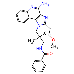 COCCc1nc2c(N)nc3ccccc3c2n1CC(C)(C)CNC(=O)c1ccccc1